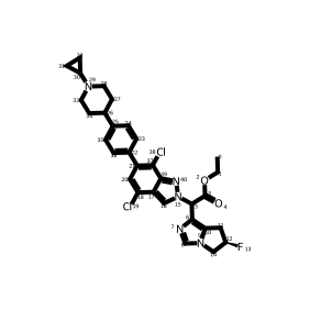 CCOC(=O)C(c1ncn2c1C[C@@H](F)C2)n1cc2c(Cl)cc(-c3ccc(C4CCN(C5CC5)CC4)cc3)c(Cl)c2n1